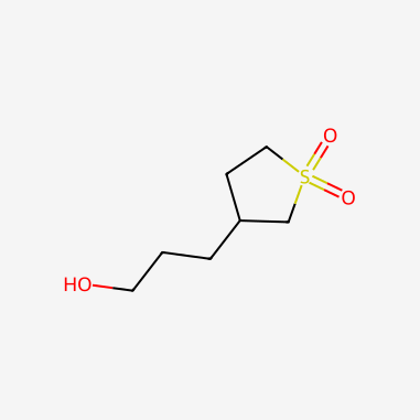 O=S1(=O)CCC(CCCO)C1